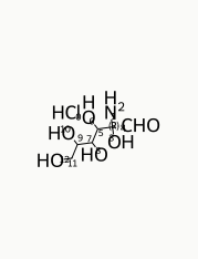 Cl.N[C@](O)(C=O)C(O)C(O)C(O)CO